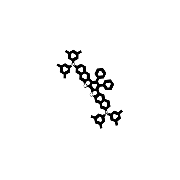 Cc1cc(C)cc(N(c2cc(C)cc(C)c2)c2ccc3cc4c(cc3c2)oc2c3oc5cc6cc(N(c7cc(C)cc(C)c7)c7cc(C)cc(C)c7)ccc6cc5c3c(-c3ccccc3)c(-c3ccccc3)c42)c1